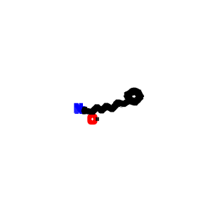 N#CC([O])CCCCCCc1ccccc1